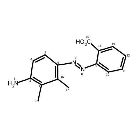 Cc1c(N)ccc(N=Nc2ccccc2C(=O)O)c1C